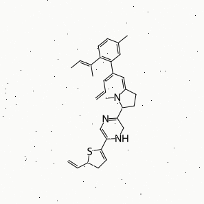 C=C/C=C(\C=C1\CCC(C2=NC=C(C3=CCC(C=C)S3)NC2)N1C)c1cc(C)ccc1/C(C)=C/C